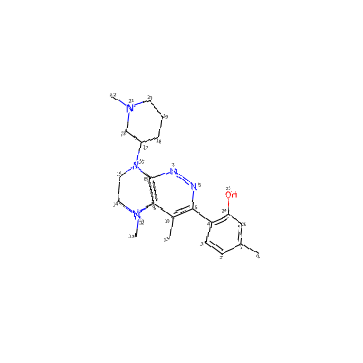 Cc1ccc(-c2nnc3c(c2C)N(C)CCN3C2CCCN(C)C2)c(O)c1